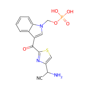 N#CC(N)c1csc(C(=O)c2cn(COP(=O)(O)O)c3ccccc23)n1